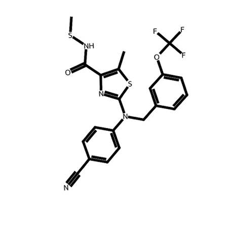 CSNC(=O)c1nc(N(Cc2cccc(OC(F)(F)F)c2)c2ccc(C#N)cc2)sc1C